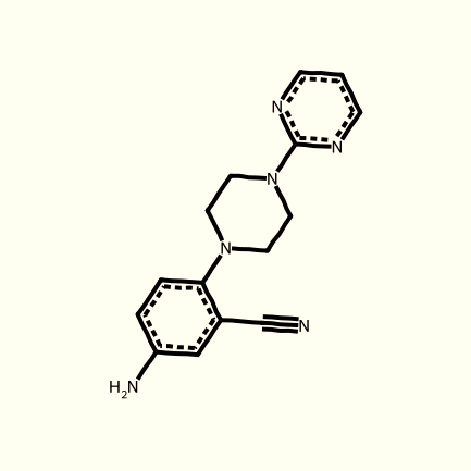 N#Cc1cc(N)ccc1N1CCN(c2ncccn2)CC1